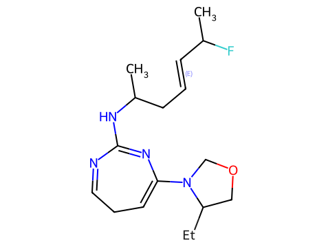 CCC1COCN1C1=CCC=NC(NC(C)C/C=C/C(C)F)=N1